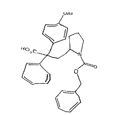 CSc1ccc(C(CC2CCCN2C(=O)OCc2ccccc2)(C(=O)O)c2ccccc2)cc1